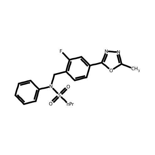 CCCS(=O)(=O)N(Cc1ccc(-c2nnc(C)o2)cc1F)c1ccccc1